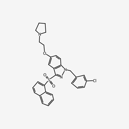 O=S(=O)(c1cccc2ccccc12)c1nn(Cc2cccc(Cl)c2)c2ccc(OCCN3CCCC3)cc12